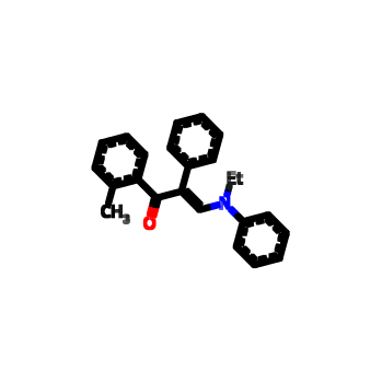 CCN(/C=C(/C(=O)c1ccccc1C)c1ccccc1)c1ccccc1